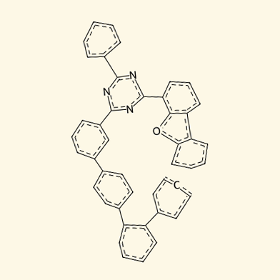 c1ccc(-c2nc(-c3cccc(-c4ccc(-c5ccccc5-c5ccccc5)cc4)c3)nc(-c3cccc4c3oc3ccccc34)n2)cc1